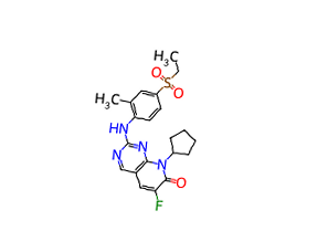 CCS(=O)(=O)c1ccc(Nc2ncc3cc(F)c(=O)n(C4CCCC4)c3n2)c(C)c1